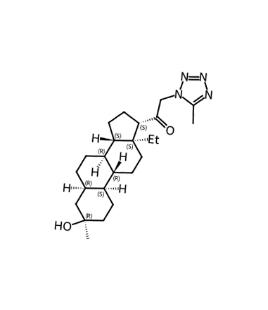 CC[C@]12CC[C@H]3[C@@H](CC[C@@H]4C[C@](C)(O)CC[C@@H]43)[C@@H]1CC[C@@H]2C(=O)Cn1nnnc1C